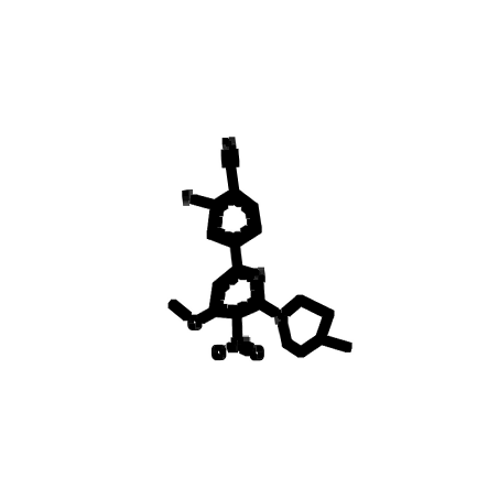 COc1cc(-c2ccc(C#N)c(F)c2)nc(N2CCC(C)CC2)c1[N+](=O)[O-]